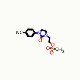 CS(=O)(=O)OCCN1CCN(c2ccc(C#N)cc2)C1=O